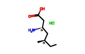 CC[C@@H](C)C[C@H](N)CC(=O)O.Cl